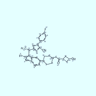 CCn1nc2ncc(N3CCN(CC(=O)C4CC(O)C4)CC3)cc2c1N(C)c1nc(-c2ccc(F)cc2)c(C#N)s1